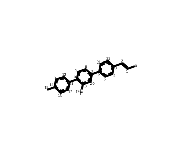 CC=Cc1ccc(-c2ccc(-c3ccc(C)cc3)c(F)c2)cc1